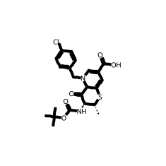 C[C@H]1SC2=CC(C(=O)O)=CN(Cc3ccc(Cl)cc3)C2C(=O)[C@H]1NC(=O)OC(C)(C)C